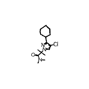 CN(C)C(=O)C(C)(C)n1cc(Cl)c(C2CCCCC2)n1